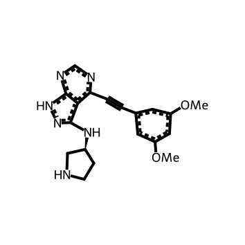 COc1cc(C#Cc2ncnc3[nH]nc(N[C@H]4CCNC4)c23)cc(OC)c1